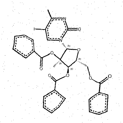 Cc1nc(=O)n([C@@H]2O[C@H](COC(=O)c3ccccc3)[C@@H](OC(=O)c3ccccc3)[C@@]2(C)OC(=O)c2ccccc2)cc1I